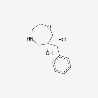 Cl.OC1(Cc2ccccc2)CNCCOC1